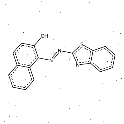 Oc1ccc2ccccc2c1/N=N/c1nc2ccccc2s1